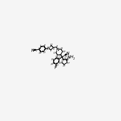 N#Cc1ccc(N2CC(CN3CCC([C@@](C#N)(c4cccc(F)c4)[C@H]4CCC[C@@H]4N)CC3)C2)cc1